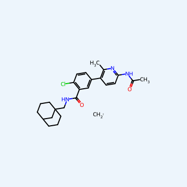 CC(=O)Nc1ccc(-c2ccc(Cl)c(C(=O)NCC34CCCC(CCC3)C4)c2)c(C)n1.[CH2]